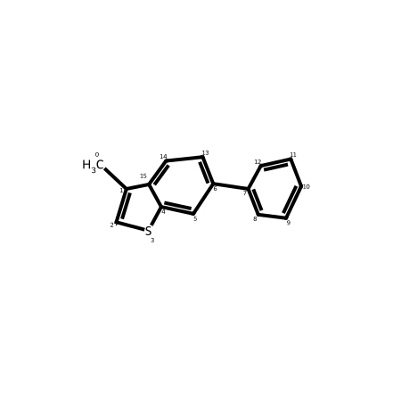 Cc1[c]sc2cc(-c3ccccc3)ccc12